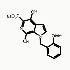 CCOC(=O)c1nc(C#N)c2c(ccn2Cc2ccccc2OC)c1O